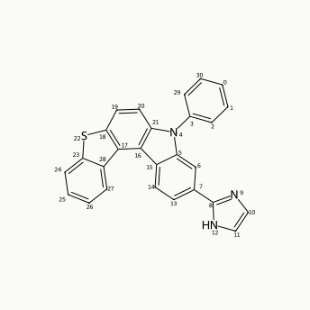 c1ccc(-n2c3cc(-c4ncc[nH]4)ccc3c3c4c(ccc32)sc2ccccc24)cc1